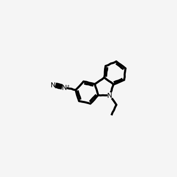 CCn1c2ccccc2c2cc([N+]#N)ccc21